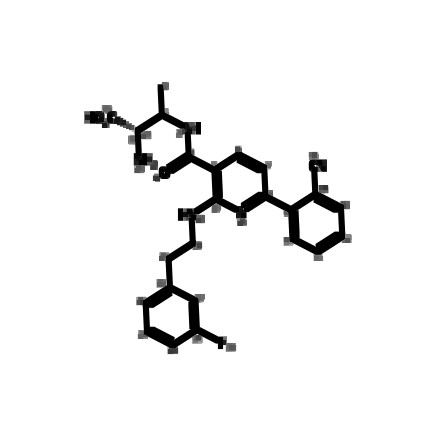 CC(NC(=O)c1ccc(-c2ccccc2C#N)nc1NCCc1cccc(F)c1)[C@H](N)C(=O)O